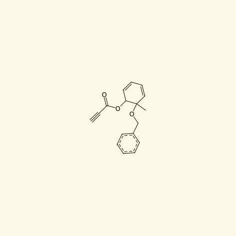 C#CC(=O)OC1C=CC=CC1(C)OCc1ccccc1